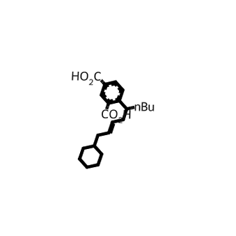 CCCCC(CC=CCC1CCCCC1)c1ccc(C(=O)O)cc1C(=O)O